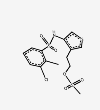 Cc1c(Cl)cccc1S(=O)(=O)Nc1cscc1CCOS(C)(=O)=O